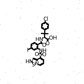 CC(C)(c1ccc(Cl)cc1)[C@H](NC(=O)c1ccc(I)cc1NS(=O)(=O)C1=CC=CN2SNC=C12)C(=O)O